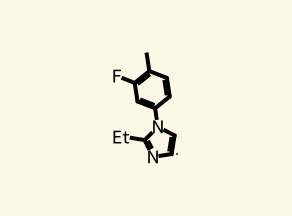 CCc1n[c]cn1-c1ccc(C)c(F)c1